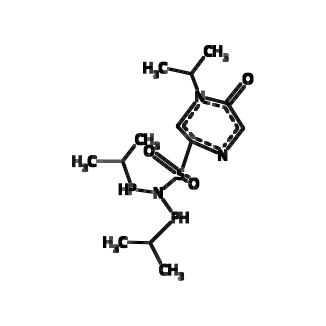 CC(C)PN(PC(C)C)S(=O)(=O)c1cn(C(C)C)c(=O)cn1